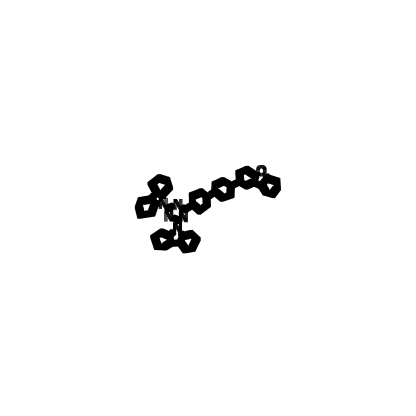 c1ccc2c(c1)oc1ccc(-c3ccc(-c4ccc(-c5nc(-n6c7ccccc7c7ccccc76)nc(-n6c7ccccc7c7ccccc76)n5)cc4)cc3)cc12